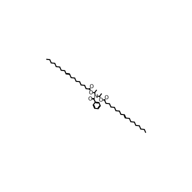 CCCCCCCCC=CCCCCCCCC(=O)OC(C)N(C(=O)c1ccccc1)C(C)OC(=O)CCCCCCCC=CCCCCCCCC